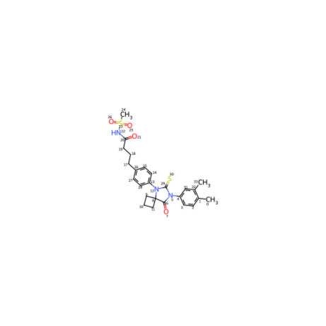 Cc1ccc(N2C(=O)C3(CCC3)N(c3ccc(CCCC(=O)NS(C)(=O)=O)cc3)C2=S)cc1C